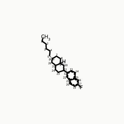 CCCCCC[C@@H]1CC[C@@H]2CC(c3ccc4cc(F)ccc4c3)CCC2C1